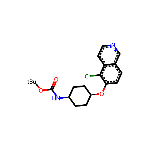 CC(C)(C)OC(=O)N[C@H]1CC[C@@H](Oc2ccc3cnccc3c2Cl)CC1